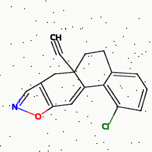 C#CC12CCc3cccc(Cl)c3C1=Cc1oncc1C2